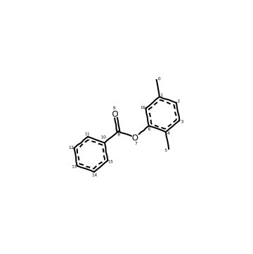 Cc1ccc(C)c(OC(=O)c2ccccc2)c1